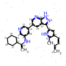 C=C/C=C\c1cc(-c2n[nH]c3ncc(-c4cncc(NC(=C)C5CCCCC5)c4)cc23)[nH]c1C